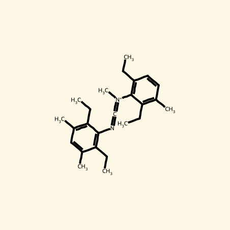 CCc1ccc(C)c(CC)c1[N+](C)=C=Nc1c(CC)c(C)cc(C)c1CC